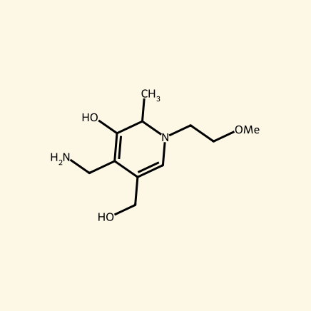 COCCN1C=C(CO)C(CN)=C(O)C1C